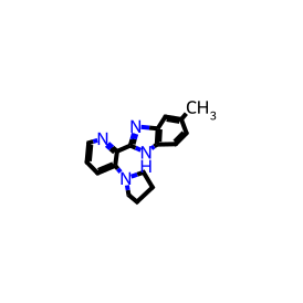 Cc1ccc2[nH]c(-c3ncccc3N3CCCC3)nc2c1